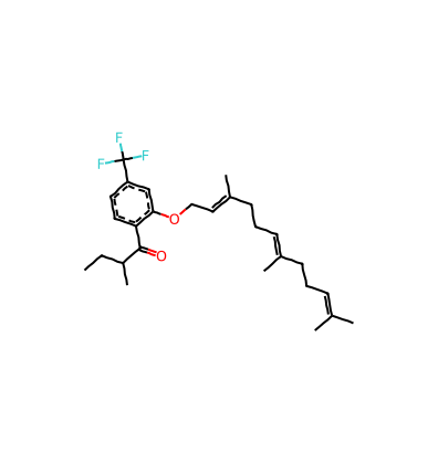 CCC(C)C(=O)c1ccc(C(F)(F)F)cc1OC/C=C(\C)CC/C=C(\C)CCC=C(C)C